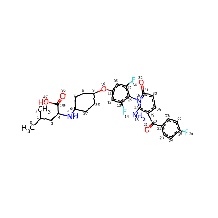 CC(C)C[C@H](NC1CCC(Oc2cc(F)c(-n3c(N)c(C(=O)c4ccc(F)cc4)ccc3=O)c(F)c2)CC1)C(=O)O